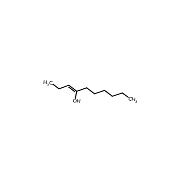 CC/C=C(\O)CCCCCC